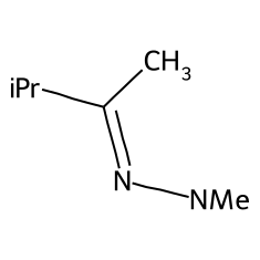 CNN=C(C)C(C)C